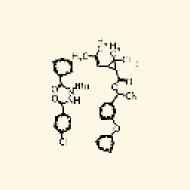 CC(C)(C)N(NC(=O)c1ccc(Cl)cc1)C(=O)c1ccccc1.CC(C)=CC1C(C(=O)OC(C#N)c2cccc(Oc3ccccc3)c2)C1(C)C